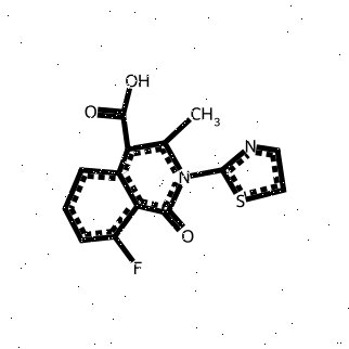 Cc1c(C(=O)O)c2cccc(F)c2c(=O)n1-c1nccs1